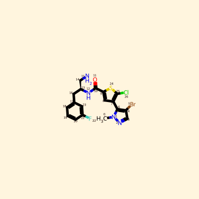 Cn1ncc(Br)c1-c1cc(C(=O)N[C@H](CN)Cc2cccc(F)c2)sc1Cl